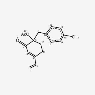 C=CC1=CC(=O)C(Cc2ccc(Cl)cc2)(OC(C)=O)CC1